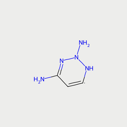 NC1=NN(N)N[C]=C1